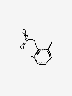 Cc1cccnc1C[SH](=O)=O